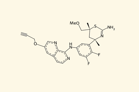 C#CCOc1cnc2c(Nc3cc(F)c(F)c([C@]4(C)C[C@](C)(COC)SC(N)=N4)c3)nccc2c1